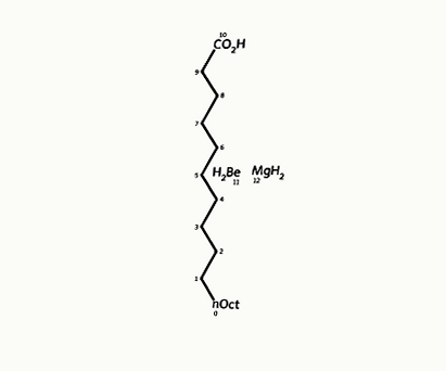 CCCCCCCCCCCCCCCCCC(=O)O.[BeH2].[MgH2]